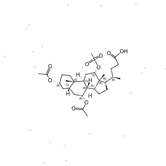 CC(=O)O[C@@H]1CC[C@@]2(C)[C@@H](C1)C[C@@H](OC(C)=O)[C@@H]1[C@@H]2C[C@H](OS(C)(=O)=O)[C@]2(C)[C@@H]([C@H](C)CCC(=O)O)CC[C@@H]12